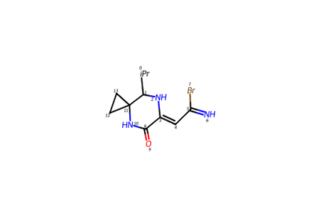 CC(C)C1N/C(=C\C(=N)Br)C(=O)NC12CC2